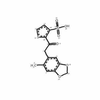 Cc1cc2c(cc1CC(=O)c1sccc1S(=O)(=O)O)OCO2